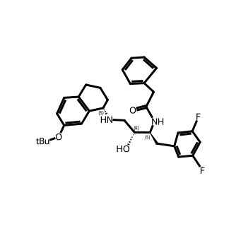 CC(C)(C)Oc1ccc2c(c1)[C@@H](NC[C@@H](O)[C@H](Cc1cc(F)cc(F)c1)NC(=O)Cc1ccccc1)CCC2